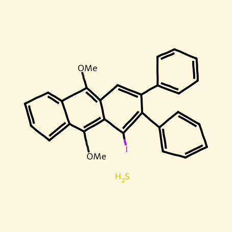 COc1c2ccccc2c(OC)c2c(I)c(-c3ccccc3)c(-c3ccccc3)cc12.S